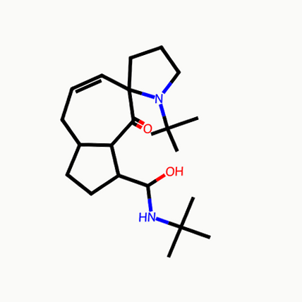 CC(C)(C)NC(O)C1CCC2CC=CC3(CCCN3C(C)(C)C)C(=O)C21